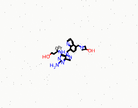 CCCC(CCO)Nc1nc(N)nc2cnn(Cc3ccc(CN4CC(O)C4)c4cccnc34)c12